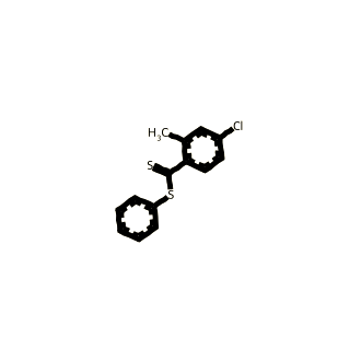 Cc1cc(Cl)ccc1C(=S)Sc1ccccc1